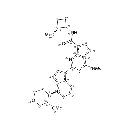 CNc1cc(-c2cnc3n([C@@H]4CCOC[C@H]4OC)cccc2-3)nc2c(C(=O)NC3CC[C@@H]3OC)cnn12